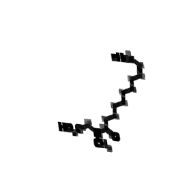 CCCCCC/C=C\CCCCCCCC(=O)N(C)CC(=O)O